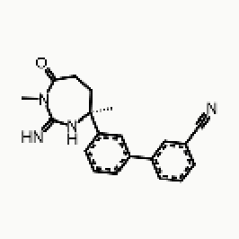 CN1C(=N)N[C@](C)(c2cccc(-c3cccc(C#N)c3)c2)CCC1=O